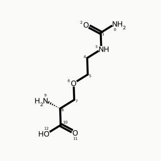 NC(=O)NCCOC[C@@H](N)C(=O)O